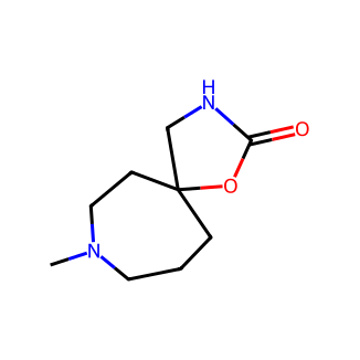 CN1CCCC2(CC1)CNC(=O)O2